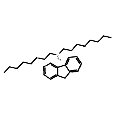 CCCCCCCC[SiH2]CCCCCCCC.c1ccc2c(c1)Cc1ccccc1-2